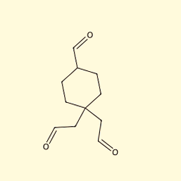 O=CCC1(CC=O)CCC(C=O)CC1